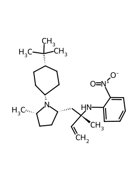 C=C[C@](C)(C[C@@H]1CC[C@H](C)N1[C@H]1CC[C@@H](C(C)(C)C)CC1)Nc1ccccc1[N+](=O)[O-]